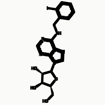 OC[C@H]1OC(n2cnc3c(NCc4ccccc4I)ncnc32)[C@@H](O)[C@@H]1O